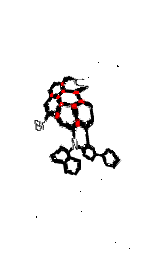 Cc1cc(Br)ccc1-c1ccccc1Cc1cc(N(c2ccc(-c3ccccc3)cc2-c2ccccc2)c2cccc3ccccc23)ccc1-c1ccccc1C